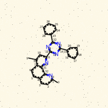 Cc1ccc2ccc3c(C)cc(-c4nc(-c5ccccc5)nc(-c5ccccc5)n4)nc3c2n1